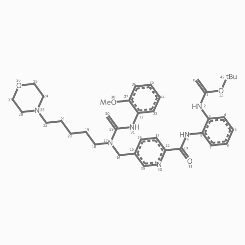 C=C(Nc1ccccc1NC(=O)c1ccc(CN(CCCCCN2CCOCC2)C(=C)Nc2ccccc2OC)cn1)OC(C)(C)C